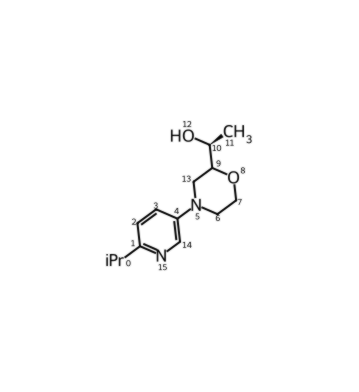 CC(C)c1ccc(N2CCOC([C@H](C)O)C2)cn1